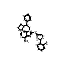 Nc1ncnc2c1nc(SC1=COC(c3ccccc3Br)O1)n2CC(c1ccccc1)C1CCCC1